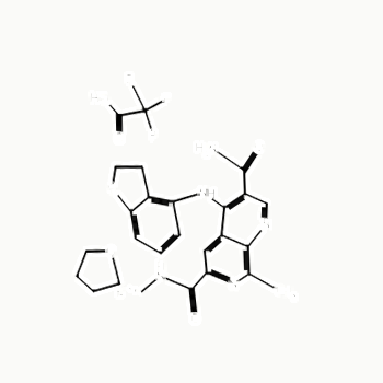 Cc1nc(C(=O)NC[C@@H]2CCCO2)cc2c(Nc3cccc4c3CCO4)c(C(N)=O)cnc12.O=C(O)C(F)(F)F